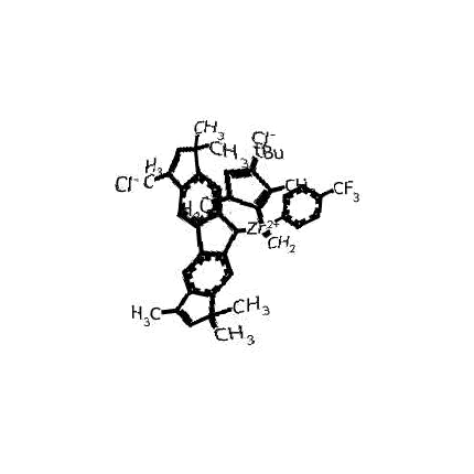 [CH2]=[Zr+2]([C]1=C(C)C(C(C)(C)C)=CC1C)([c]1ccc(C(F)(F)F)cc1)[CH]1c2cc3c(cc2-c2cc4c(cc21)C(C)(C)C=C4C)C(C)=CC3(C)C.[Cl-].[Cl-]